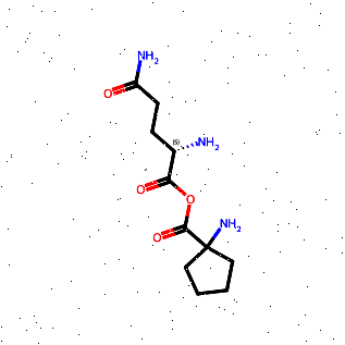 NC(=O)CC[C@H](N)C(=O)OC(=O)C1(N)CCCC1